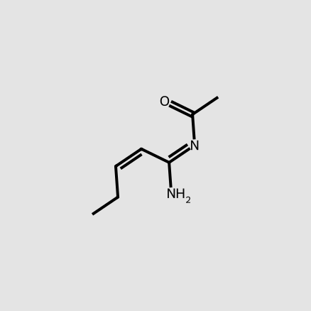 CC/C=C\C(N)=N/C(C)=O